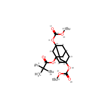 CC(C)C(C)(C(=O)OC12CC3CC(OC(=O)OC(C)(C)C)(CC(OC(=O)OC(C)(C)C)(C3)C1)C2)C(C)(C)C